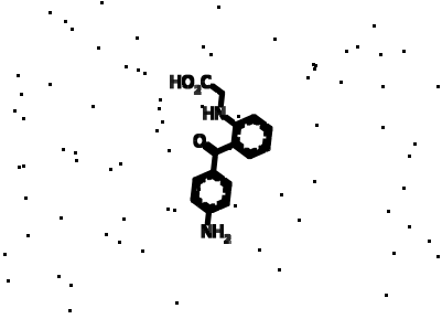 Nc1ccc(C(=O)c2ccccc2NCC(=O)O)cc1